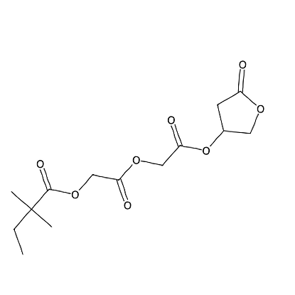 CCC(C)(C)C(=O)OCC(=O)OCC(=O)OC1COC(=O)C1